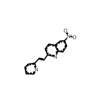 O=[N+]([O-])c1ccc2nc(/C=C/c3ccccn3)ccc2c1